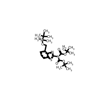 CC(C)(C)OC(=O)N(C(=O)OC(C)(C)C)c1nc2c(CO[Si](C)(C)C(C)(C)C)cccc2s1